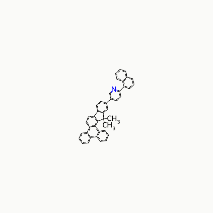 CC1(C)c2cc(-c3ccc(-c4cccc5ccccc45)nc3)ccc2-c2ccc3c4ccccc4c4ccccc4c3c21